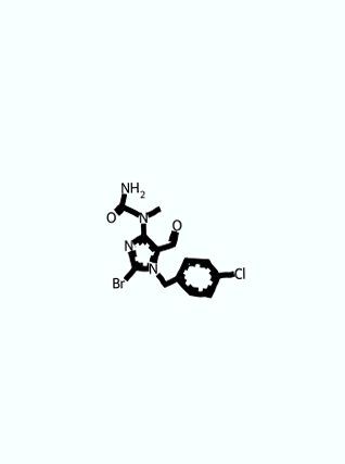 CN(C(N)=O)c1nc(Br)n(Cc2ccc(Cl)cc2)c1C=O